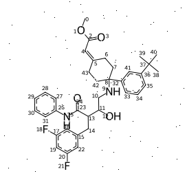 COC(=O)C=C1CCC(NCC(O)C(Cc2cc(F)cc(F)c2)C(=O)Nc2ccccc2)(c2cccc(C(C)(C)C)c2)CC1